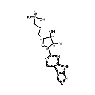 O=P(O)(O)COC[C@H]1O[C@H](c2ncc3c(n2)[nH]c2nncn23)[C@H](O)[C@@H]1O